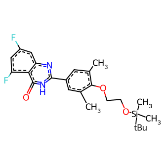 Cc1cc(-c2nc3cc(F)cc(F)c3c(=O)[nH]2)cc(C)c1OCCO[Si](C)(C)C(C)(C)C